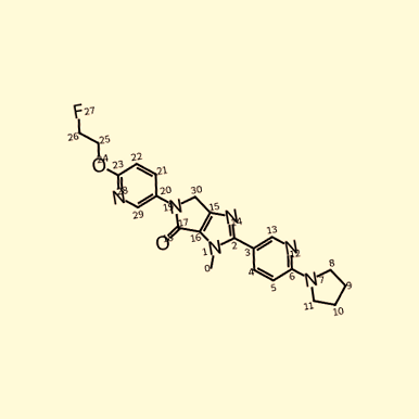 Cn1c(-c2ccc(N3CCCC3)nc2)nc2c1C(=O)N(c1ccc(OCCF)nc1)C2